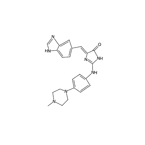 CN1CCN(c2ccc(NC3=N/C(=C\c4ccc5[nH]cnc5c4)C(=O)N3)cc2)CC1